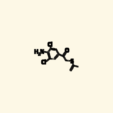 C=C(C)SCC(=O)c1cc(Cl)c(N)c(Cl)c1